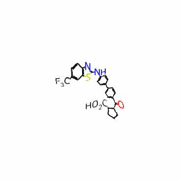 O=C(O)[C@H]1CCC[C@@H]1C(=O)c1ccc(-c2ccc(Nc3nc4ccc(C(F)(F)F)cc4s3)cc2)cc1